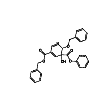 O=C(OCc1ccccc1)C1=CC(O)(C(=O)Oc2ccccc2)C(OCc2ccccc2)N=C1